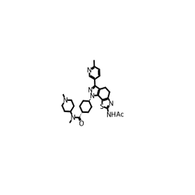 CC(=O)Nc1nc2c(s1)-c1c(c(-c3ccc(C)nc3)nn1[C@H]1CC[C@@H](C(=O)N(C)C3CCN(C)CC3)CC1)CC2